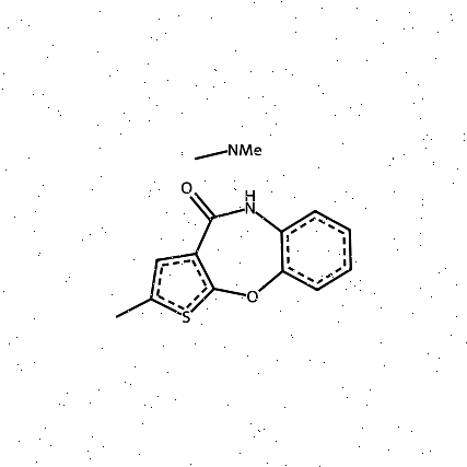 CNC.Cc1cc2c(s1)Oc1ccccc1NC2=O